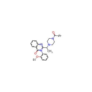 CCOc1ccccc1-n1c(C(C)N2CCN(C(=O)C(C)C)CC2)nc2ccccc2c1=O